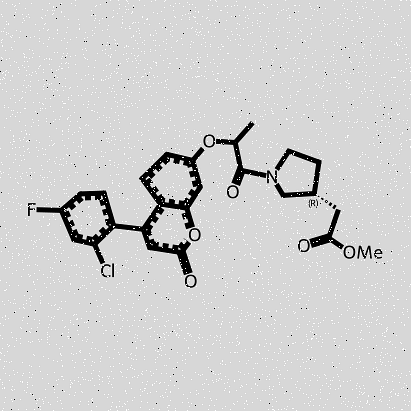 COC(=O)C[C@H]1CCN(C(=O)C(C)Oc2ccc3c(-c4ccc(F)cc4Cl)cc(=O)oc3c2)C1